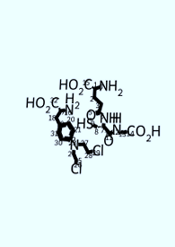 N[C@@H](CCC(=O)N[C@@H](CS)C(=O)NCC(=O)O)C(=O)O.N[C@@H](Cc1ccc(N(CCCl)CCCl)cc1)C(=O)O